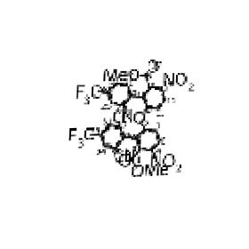 COC(=O)c1c([N+](=O)[O-])ccc(Oc2ccc([N+](=O)[O-])c(C(=O)OC)c2-c2ccc(C(F)(F)F)cc2C#N)c1-c1ccc(C(F)(F)F)cc1C#N